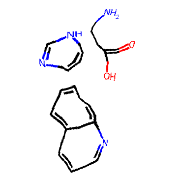 NCC(=O)O.c1c[nH]cn1.c1ccc2ncccc2c1